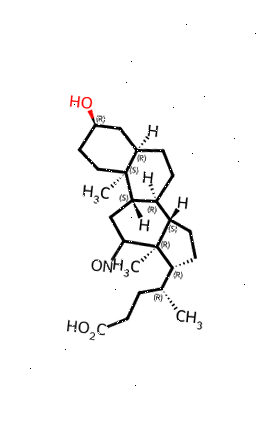 C[C@H](CCC(=O)O)[C@H]1CC[C@H]2[C@@H]3CC[C@@H]4C[C@H](O)CC[C@]4(C)[C@H]3CC(N=O)[C@]12C